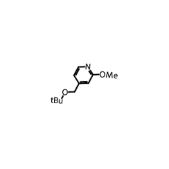 COc1cc(COC(C)(C)C)ccn1